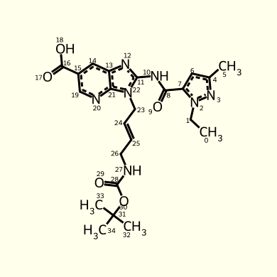 CCn1nc(C)cc1C(=O)Nc1nc2cc(C(=O)O)cnc2n1CC=CCNC(=O)OC(C)(C)C